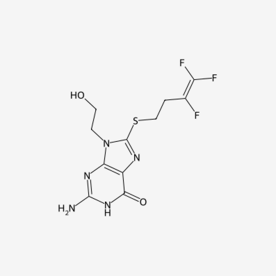 Nc1nc2c(nc(SCCC(F)=C(F)F)n2CCO)c(=O)[nH]1